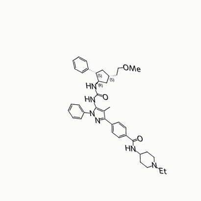 CCN1CCC(NC(=O)c2ccc(-c3nn(-c4ccccc4)c(NC(=O)N[C@@H]4C[C@@H](CCOC)C[C@H]4c4ccccc4)c3C)cc2)CC1